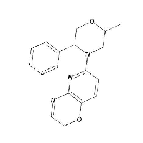 CC1CN(c2ccc3c(n2)N=CCO3)C(c2ccccc2)CO1